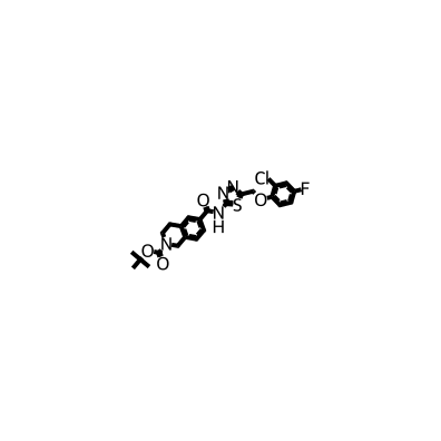 CC(C)(C)OC(=O)N1CCc2cc(C(=O)Nc3nnc(COc4ccc(F)cc4Cl)s3)ccc2C1